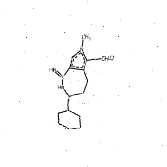 Cn1cc2c(c1C=O)CCC(C1CCCCC1)NS2=N